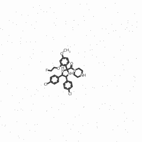 COc1ccc(C2(C(=O)N3CCNCC3)NC(c3ccc(Cl)cc3)C(c3ccc(Cl)cc3)N2)c(OCCF)c1